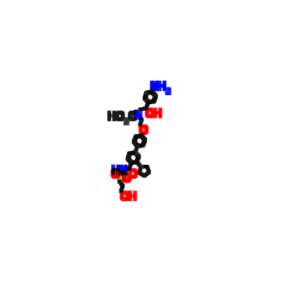 Nc1ccc([C@H](O)CN(CCOc2ccc(-c3ccc(C(=O)NS(=O)(=O)CCCO)c(C4CCCC4)c3)cc2)C(=O)O)cc1